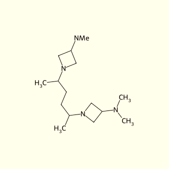 CNC1CN(C(C)CCC(C)N2CC(N(C)C)C2)C1